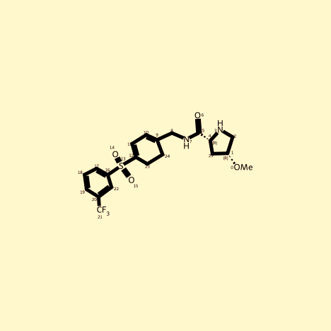 CO[C@H]1CN[C@@H](C(=O)NCC2=CC=C(S(=O)(=O)c3cccc(C(F)(F)F)c3)CC2)C1